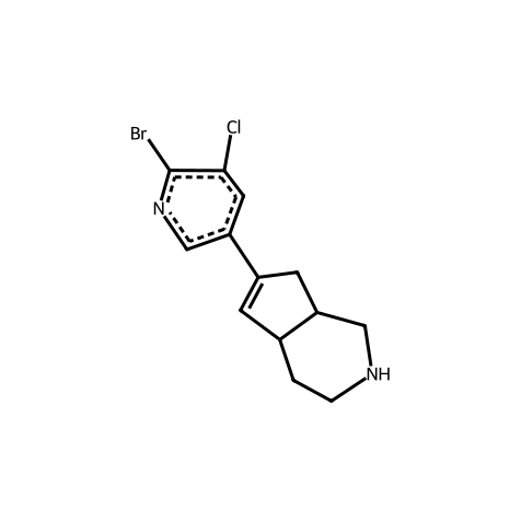 Clc1cc(C2=CC3CCNCC3C2)cnc1Br